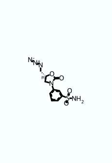 [N-]=[N+]=NC[C@H]1CN(c2cccc(S(N)(=O)=O)c2)C(=O)O1